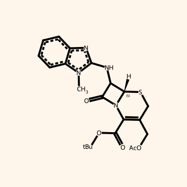 CC(=O)OCC1=C(C(=O)OC(C)(C)C)N2C(=O)C(Nc3nc4ccccc4n3C)[C@@H]2SC1